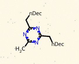 [CH2]c1nc(CCCCCCCCCCC)nc(CCCCCCCCCCC)n1